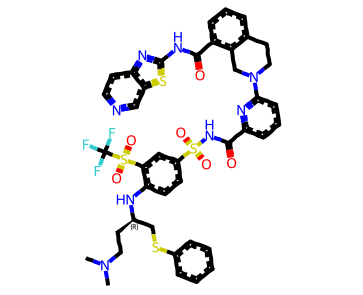 CN(C)CC[C@H](CSc1ccccc1)Nc1ccc(S(=O)(=O)NC(=O)c2cccc(N3CCc4cccc(C(=O)Nc5nc6ccncc6s5)c4C3)n2)cc1S(=O)(=O)C(F)(F)F